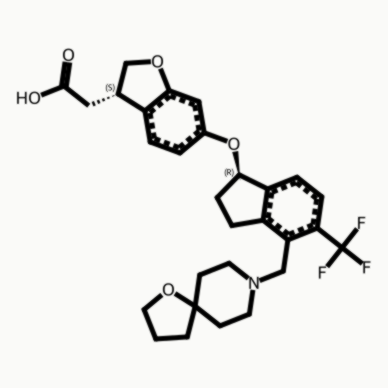 O=C(O)C[C@@H]1COc2cc(O[C@@H]3CCc4c3ccc(C(F)(F)F)c4CN3CCC4(CCCO4)CC3)ccc21